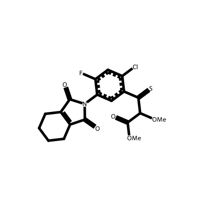 COC(=O)C(OC)C(=S)c1cc(N2C(=O)C3=C(CCCC3)C2=O)c(F)cc1Cl